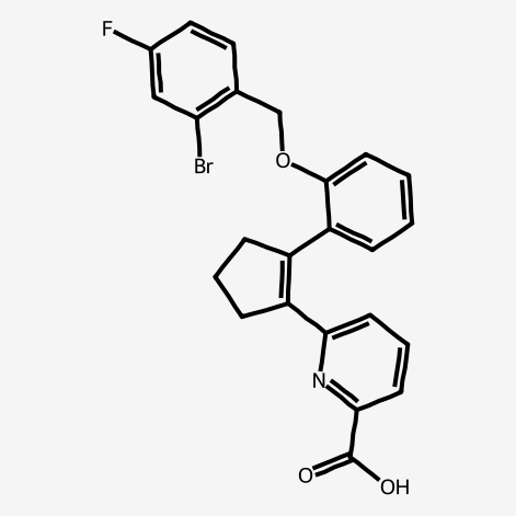 O=C(O)c1cccc(C2=C(c3ccccc3OCc3ccc(F)cc3Br)CCC2)n1